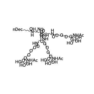 CCCCCCCCCCCCCCCC(=O)NCCCCC(NC(=O)C(CCCCNC(=O)COCCOCCOCCO[C@@H]1O[C@H](CO)[C@H](O)[C@H](O)[C@H]1NC(C)=O)NC(=O)C(CCCCNC(=O)COCCOCCOCCO[C@@H]1O[C@H](CO)[C@H](O)[C@H](O)[C@H]1NC(C)=O)NC(=O)COCCOCCOCCO[C@@H]1O[C@H](CO)[C@H](O)[C@H](O)[C@H]1NC(C)=O)C(N)=O